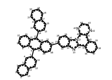 c1ccc2cc(-c3c4ccccc4c(-c4ccc5ccccc5c4)c4cc(-c5ccc6c(c5)nc5c7ccccc7c7nccnc7n65)ccc34)ccc2c1